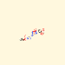 CC(C)(C)OC(=O)NCCNC[C@@H]1CN(c2ccc3c(c2)OCCO3)C(=O)O1